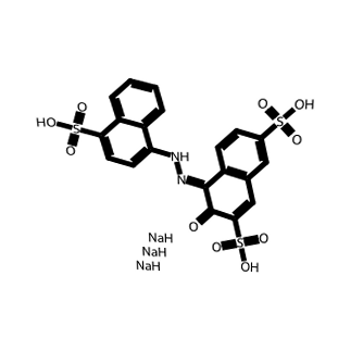 O=C1C(S(=O)(=O)O)=Cc2cc(S(=O)(=O)O)ccc2/C1=N\Nc1ccc(S(=O)(=O)O)c2ccccc12.[NaH].[NaH].[NaH]